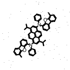 Cc1cccc2c1oc1c(N(c3ccccc3)c3cc(C(C)C)c4ccc5c(N(c6ccccc6)c6cccc7c6oc6c(C)cccc67)cc(C(C)C)c6ccc3c4c65)cccc12